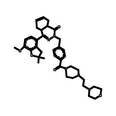 COc1ccc(C2=NN(Cc3ccc(C(=O)N4CCN(CCN5CCOCC5)CC4)cc3)C(=O)C3CC=CCC23)c2c1OC(C)(C)C2